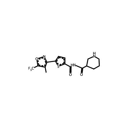 Cc1c(-c2ccc(C(=O)NC(=O)C3CCCNC3)s2)noc1C(F)(F)F